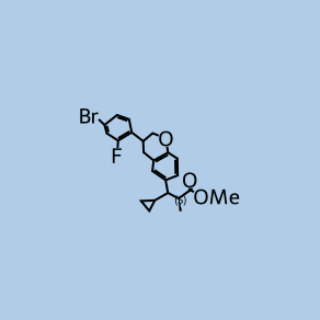 COC(=O)[C@@H](C)C(c1ccc2c(c1)CC(c1ccc(Br)cc1F)CO2)C1CC1